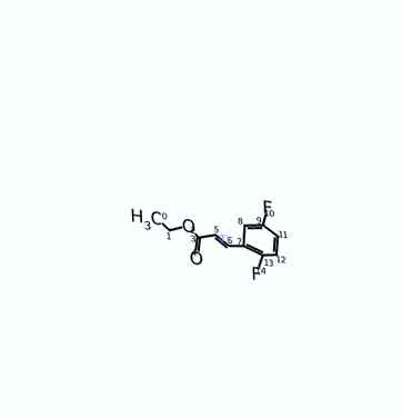 CCOC(=O)/C=C/c1cc(F)ccc1F